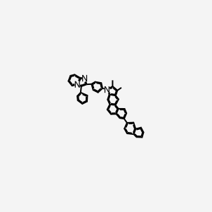 Cc1c(C)n(-c2ccc(-c3nc4ccccn4c3-c3ccccc3)cc2)c2cc3ccc4cc(-c5ccc6ccccc6c5)ccc4c3cc12